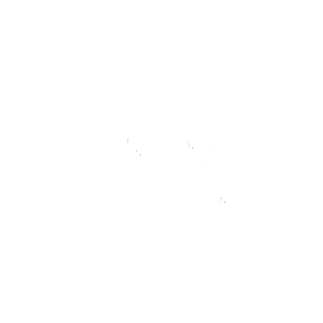 C=C(C)/C(NC(=O)OC(C)c1cccnc1)=C(\C)c1ccc(NC(=O)C2CCCCC2C(=O)O)cc1